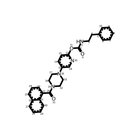 O=C(NCCc1ccccc1)Oc1ccc(N2CCN(C(=O)c3cccc4ccccc34)CC2)cn1